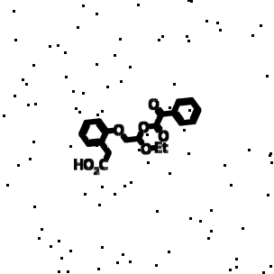 CCOC(COc1ccccc1CC(=O)O)OC(=O)C(=O)c1ccccc1